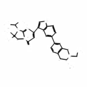 CCN1Cc2cc(-c3ccc4[nH]cc(-c5cc(=O)n6c(n5)N(C(C)C)C(C)(C)C6)c4c3)ccc2C[C@H]1C